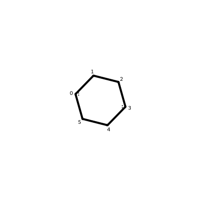 [C]1CC[C]CC1